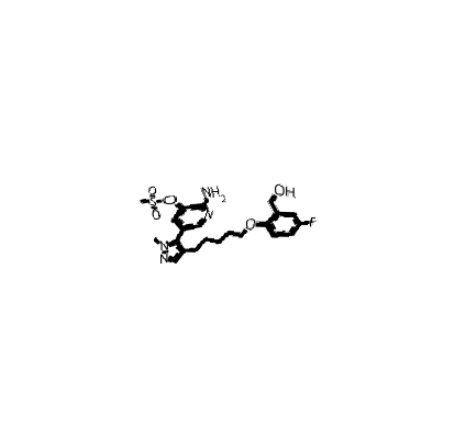 Cn1ncc(CCCCCOc2ccc(F)cc2CO)c1-c1cnc(N)c(OS(C)(=O)=O)c1